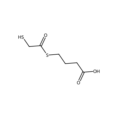 O=C(O)CCCSC(=O)CS